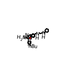 CCCCN1CCN(C2=C(\C)CC/C(NCc3ccc(CNCCCNC4CCCCC4)cc3)=N/C(N)=C\2)CC1